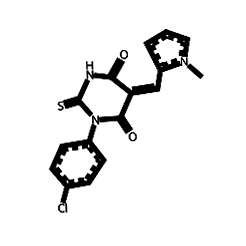 Cn1cccc1C=C1C(=O)NC(=S)N(c2ccc(Cl)cc2)C1=O